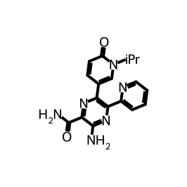 CC(C)n1cc(-c2nc(C(N)=O)c(N)nc2-c2ccccn2)ccc1=O